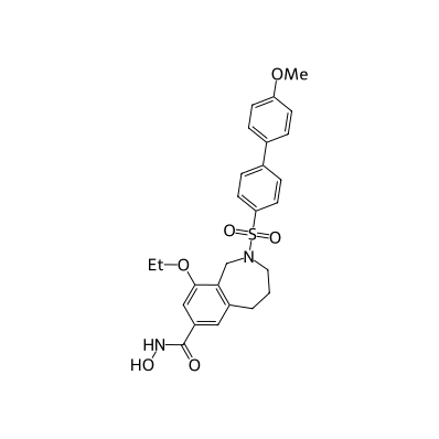 CCOc1cc(C(=O)NO)cc2c1CN(S(=O)(=O)c1ccc(-c3ccc(OC)cc3)cc1)CCC2